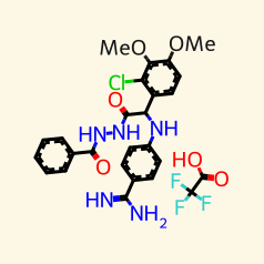 COc1ccc(C(Nc2ccc(C(=N)N)cc2)C(=O)NNC(=O)c2ccccc2)c(Cl)c1OC.O=C(O)C(F)(F)F